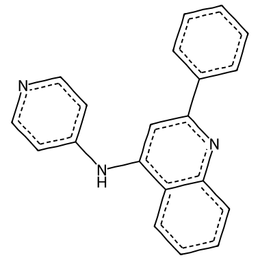 c1ccc(-c2cc(Nc3ccncc3)c3ccccc3n2)cc1